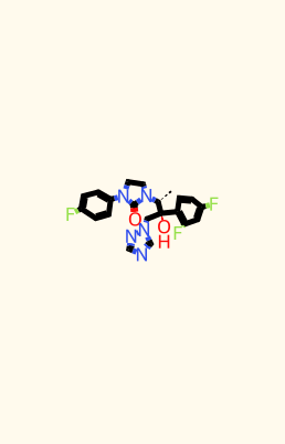 C[C@@H](N1CCN(c2ccc(F)cc2)C1=O)[C@](O)(Cn1cncn1)c1ccc(F)cc1F